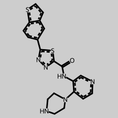 O=C(Nc1cnccc1N1CCNCC1)c1nnc(-c2ccc3sccc3c2)s1